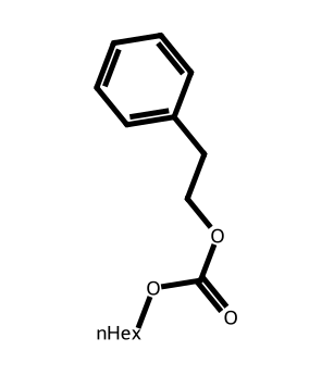 CCCCCCOC(=O)OCCc1ccccc1